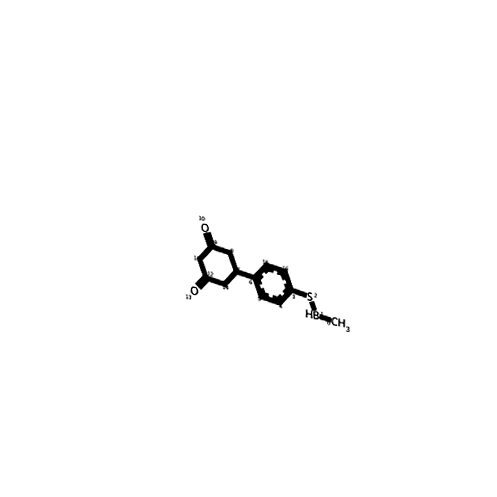 CBSc1ccc(C2CC(=O)CC(=O)C2)cc1